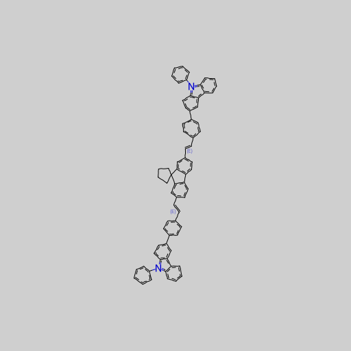 C(=C\c1ccc2c(c1)C1(CCCC1)c1cc(/C=C/c3ccc(-c4ccc5c(c4)c4ccccc4n5-c4ccccc4)cc3)ccc1-2)/c1ccc(-c2ccc3c(c2)c2ccccc2n3-c2ccccc2)cc1